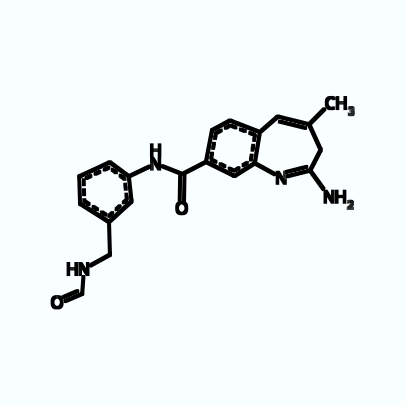 CC1=Cc2ccc(C(=O)Nc3cccc(CNC=O)c3)cc2N=C(N)C1